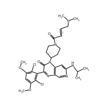 COc1cc(OC)c(Cl)c(-c2nc3cnc(NC(C)C)cc3n(C3CCN(C(=O)/C=C/CN(C)C)CC3)c2=O)c1Cl